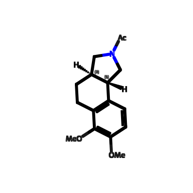 COc1ccc2c(c1OC)CC[C@H]1CN(C(C)=O)C[C@H]21